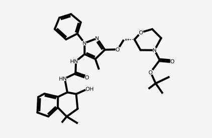 Cc1c(OC[C@H]2CN(C(=O)OC(C)(C)C)CCO2)nn(-c2ccccc2)c1NC(=O)NC1c2ccccc2C(C)(C)CC1O